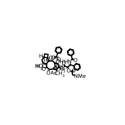 CNCC(=O)O[C@@H](C(=O)O[C@H]1C[C@@]2(O)[C@@H](OC(=O)c3ccccc3)[C@@H]3[C@]4(OC(C)=O)CC[C@@H]4C[C@H](O)[C@@]3(C)C(=O)[C@H](OC(C)=O)C(=C1C)C2(C)C)[C@@H](NC(=O)c1ccccc1)c1ccccc1